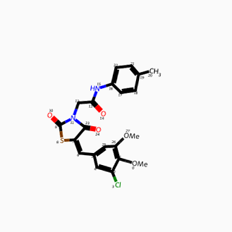 [CH2]Oc1c(Cl)cc(C=C2SC(=O)N(CC(=O)Nc3ccc(C)cc3)C2=O)cc1OC